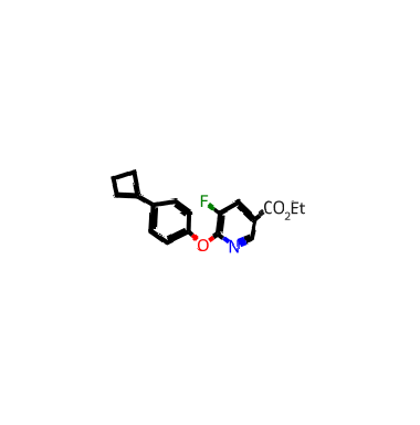 CCOC(=O)c1cnc(Oc2ccc(C3CCC3)cc2)c(F)c1